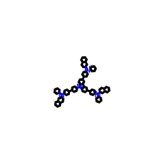 c1ccc(N(c2ccc(-c3ccc(-n4c5ccc(-c6ccc(N(c7ccccc7)c7ccc8ccccc8c7)cc6)cc5c5cc(-c6ccc(N(c7ccccc7)c7ccc8ccccc8c7)cc6)ccc54)cc3)cc2)c2ccc3ccccc3c2)cc1